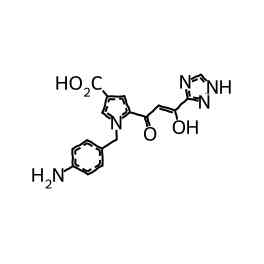 Nc1ccc(Cn2cc(C(=O)O)cc2C(=O)C=C(O)c2nc[nH]n2)cc1